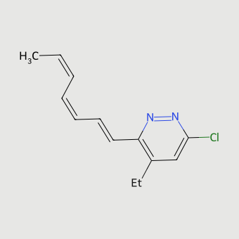 C\C=C/C=C\C=C\c1nnc(Cl)cc1CC